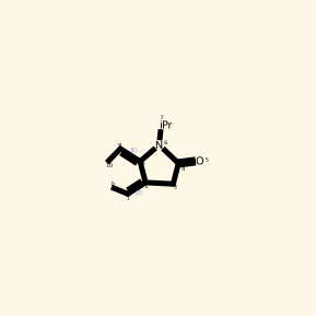 C/C=C1/CC(=O)N(C(C)C)/C1=C/C